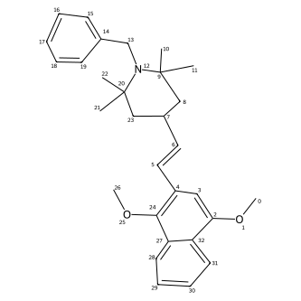 COc1cc(C=CC2CC(C)(C)N(Cc3ccccc3)C(C)(C)C2)c(OC)c2ccccc12